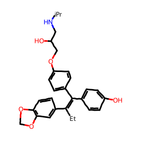 CCC(=C(c1ccc(O)cc1)c1ccc(OCC(O)CNC(C)C)cc1)c1ccc2c(c1)OCO2